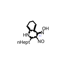 CCCCCCCc1[nH]c2c(/c(=N\O)c1N=O)=CCCC=2